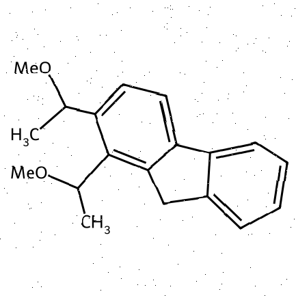 COC(C)c1ccc2c(c1C(C)OC)Cc1ccccc1-2